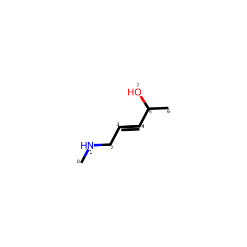 CNCC=CC(C)O